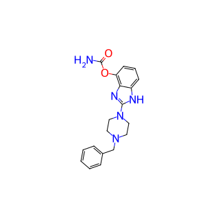 NC(=O)Oc1cccc2[nH]c(N3CCN(Cc4ccccc4)CC3)nc12